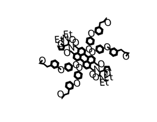 CCN(CC)C(=O)C(c1ccco1)N1C(=O)c2cc(Oc3ccc(Oc4cccc(CC5CO5)c4)cc3)c3c4c(Oc5ccc(Oc6cccc(CC7CO7)c6)cc5)cc5c6c(cc(Oc7ccc(Oc8cccc(CC9CO9)c8)cc7)c(c7c(Oc8ccc(Oc9cccc(CC%10CO%10)c9)cc8)cc(c2c37)C1=O)c64)C(=O)N(C(C(=O)N(CC)CC)c1ccco1)C5=O